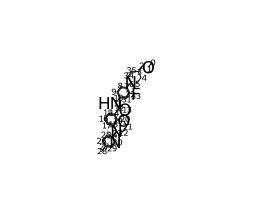 COCC1CCN(c2ccc(NC(=O)c3cccc4c3OCCN4c3ccc(C)cn3)cc2F)CC1